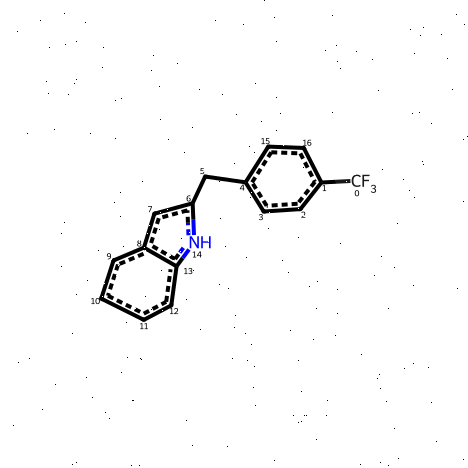 FC(F)(F)c1ccc(Cc2cc3ccccc3[nH]2)cc1